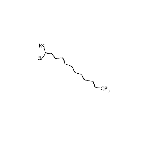 FC(F)(F)CCCCCCCCCCC(S)Br